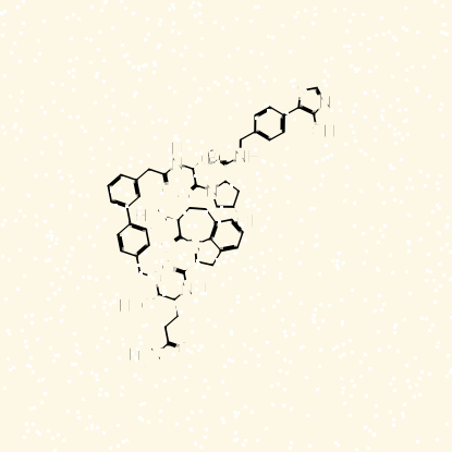 Cc1ncsc1-c1ccc(CNC(=O)[C@@H]2C[C@@H](O)CN2C(=O)[C@@H](NC(=O)Cc2cccc(-c3ccc(CO[C@H](C)[C@H](CCC(N)=O)NC(=O)[C@@H]4Cc5cccc6c5N4C(=O)[C@@H](N)CC6)cc3)c2)C(C)(C)C)cc1